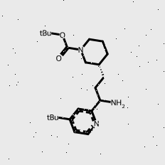 CC(C)(C)OC(=O)N1CCC[C@H](CCC(N)c2cc(C(C)(C)C)ccn2)C1